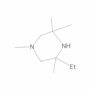 CCC1(C)CN(C)CC(C)(C)N1